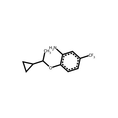 CC(Oc1ccc(C(F)(F)F)cc1N)C1CC1